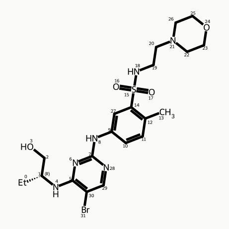 CC[C@H](CO)Nc1nc(Nc2ccc(C)c(S(=O)(=O)NCCN3CCOCC3)c2)ncc1Br